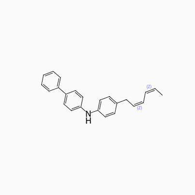 C/C=C\C=C/Cc1ccc(Nc2ccc(-c3ccccc3)cc2)cc1